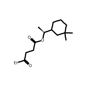 CCC(=O)CCC(=O)O[C@@H](C)C1CCCC(C)(C)C1